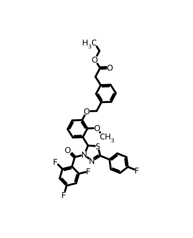 CCOC(=O)Cc1cccc(COc2cccc(C3SC(c4ccc(F)cc4)=NN3C(=O)c3c(F)cc(F)cc3F)c2OC)c1